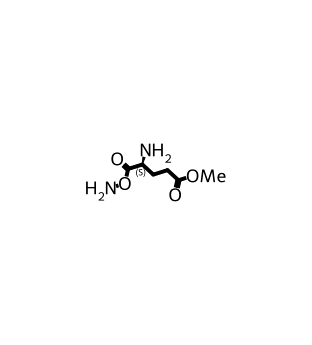 COC(=O)CC[C@H](N)C(=O)ON